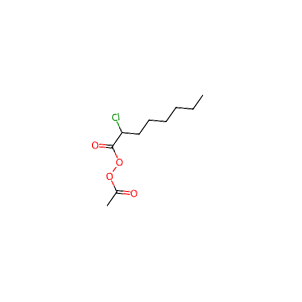 CCCCCCC(Cl)C(=O)OOC(C)=O